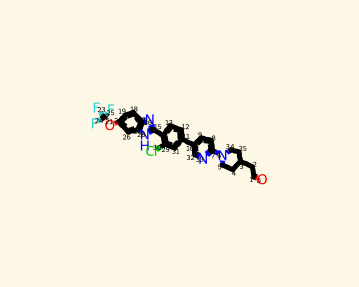 O=CCC1CCN(c2ccc(-c3ccc(-c4nc5ccc(OC(F)(F)F)cc5[nH]4)c(Cl)c3)cn2)CC1